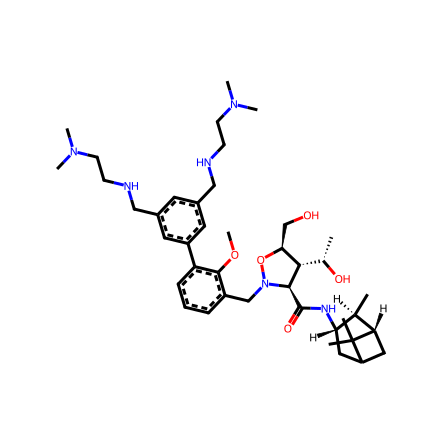 COc1c(CN2O[C@@H](CO)[C@H]([C@H](C)O)[C@H]2C(=O)N[C@H]2CC3C[C@@H]([C@@H]2C)C3(C)C)cccc1-c1cc(CNCCN(C)C)cc(CNCCN(C)C)c1